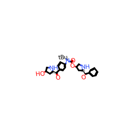 CC(C)(C)N(C(=O)OC1CN[C@@H](C(=O)c2ccccc2)C1)c1ccc(C(=O)[C@H]2CC(O)CN2)cc1